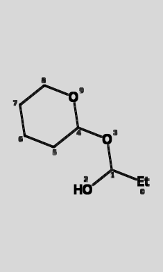 CCC(O)OC1CCCCO1